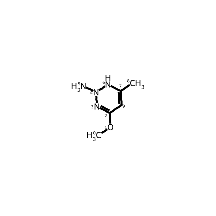 COC1=NN(N)NC(C)=C1